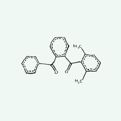 Cc1cccc(C)c1C(=O)c1ccccc1C(=O)c1ccccc1